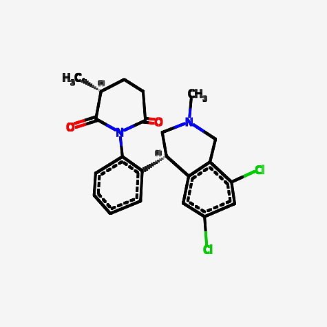 C[C@@H]1CCC(=O)N(c2ccccc2[C@@H]2CN(C)Cc3c(Cl)cc(Cl)cc32)C1=O